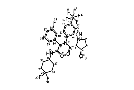 N#CN1CC[C@@H](C(F)(F)F)[C@@H]1C(=O)N(c1ccc(S(F)(F)(F)(F)F)cc1)C(C(=O)NC1CCC(F)(F)CC1)c1cncc(F)c1